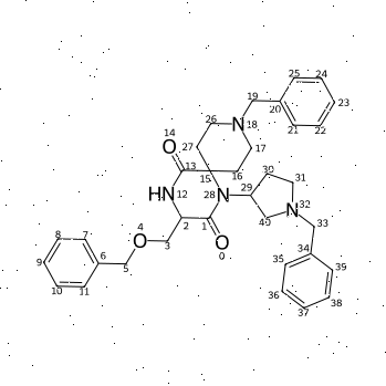 O=C1C(COCc2ccccc2)NC(=O)C2(CCN(Cc3ccccc3)CC2)N1C1CCN(Cc2ccccc2)C1